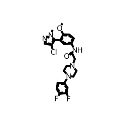 COc1ccc(NC(=O)CN2CCN(c3ccc(F)c(F)c3)CC2)cc1-c1c(Cl)cnn1C